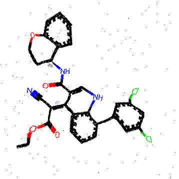 CCOC(=O)/C(C#N)=C1/C(C(=O)N[C@H]2CCOc3ccccc32)=CNc2c1cccc2-c1cc(Cl)cc(Cl)c1